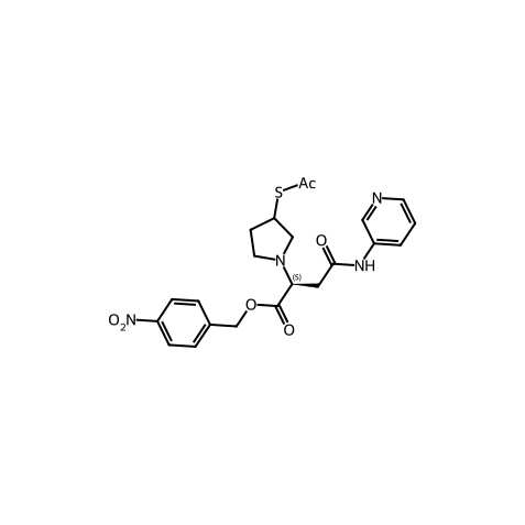 CC(=O)SC1CCN([C@@H](CC(=O)Nc2cccnc2)C(=O)OCc2ccc([N+](=O)[O-])cc2)C1